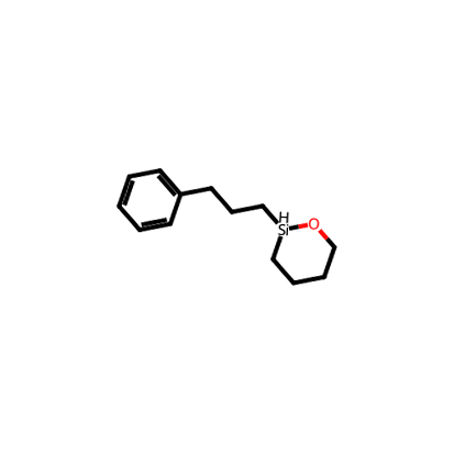 c1ccc(CCC[SiH]2CCCCO2)cc1